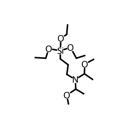 CCO[Si](CCCN(C(C)OC)C(C)OC)(OCC)OCC